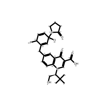 CC(C)(C)[C@@H](CO)n1cc(C(=O)O)c(=O)c2cc(CC3=CC(Cl)(N4CCCC4=O)C=CC3F)ccc21